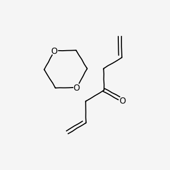 C1COCCO1.C=CCC(=O)CC=C